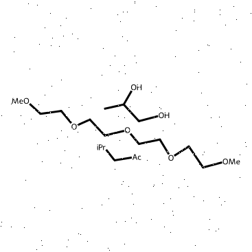 CC(=O)CC(C)C.CC(O)CO.COCCOCCOCCOCCOC